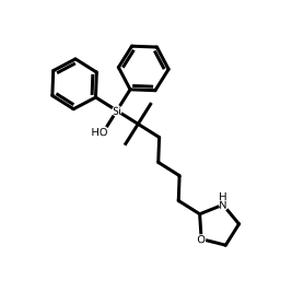 CC(C)(CCCCC1NCCO1)[Si](O)(c1ccccc1)c1ccccc1